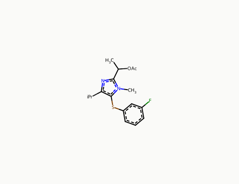 CC(=O)OC(C)c1nc(C(C)C)c(Sc2cccc(F)c2)n1C